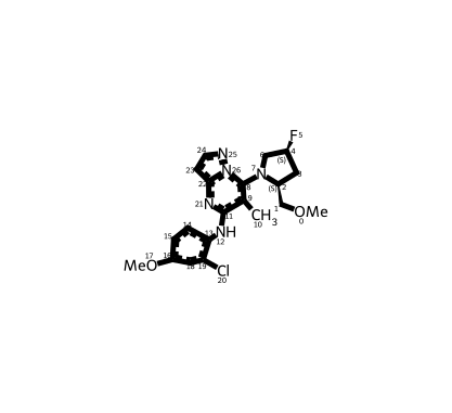 COC[C@@H]1C[C@H](F)CN1c1c(C)c(Nc2ccc(OC)cc2Cl)nc2ccnn12